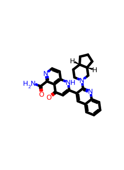 NC(=O)c1nccc2[nH]c(-c3cc4ccccc4nc3N3CC[C@@H]4CCC[C@@H]4C3)cc(=O)c12